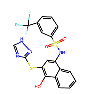 O=S(=O)(Nc1cc(Sc2nc[nH]n2)c(O)c2ccccc12)c1cccc(C(F)(F)F)c1